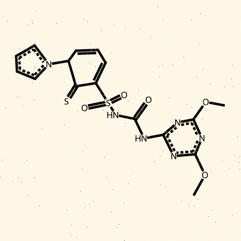 COc1nc(NC(=O)NS(=O)(=O)C2=CC=CC(n3cccc3)C2=S)nc(OC)n1